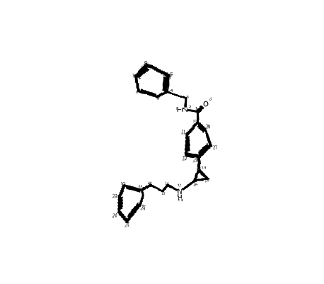 O=C(NCc1ccccc1)c1ccc(C2CC2NCCCc2ccccc2)cc1